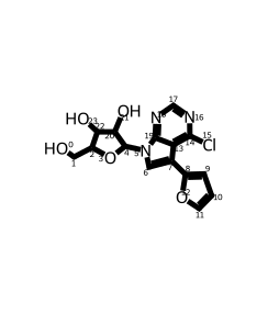 OCC1OC(n2cc(-c3ccco3)c3c(Cl)ncnc32)C(O)C1O